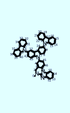 CN1Cc2cc(-n3c4ccc(-n5c6ccccc6c6ccccc65)cc4c4cc(-n5c6ccccc6c6ccccc65)ccc43)ccc2-n2c1nc1ccccc12